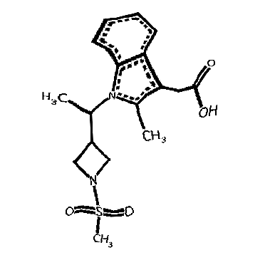 Cc1c(C(=O)O)c2ccccc2n1C(C)C1CN(S(C)(=O)=O)C1